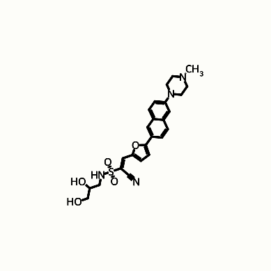 CN1CCN(c2ccc3cc(-c4ccc(/C=C(\C#N)S(=O)(=O)NCC(O)CO)o4)ccc3c2)CC1